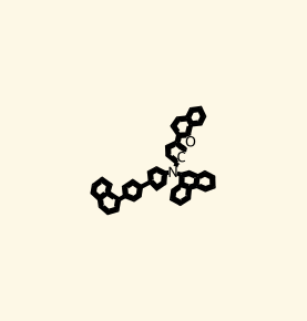 c1ccc2c(-c3ccc(-c4ccc(N(c5ccc6c(c5)oc5c7ccccc7ccc65)c5cc6ccccc6c6ccccc56)cc4)cc3)cccc2c1